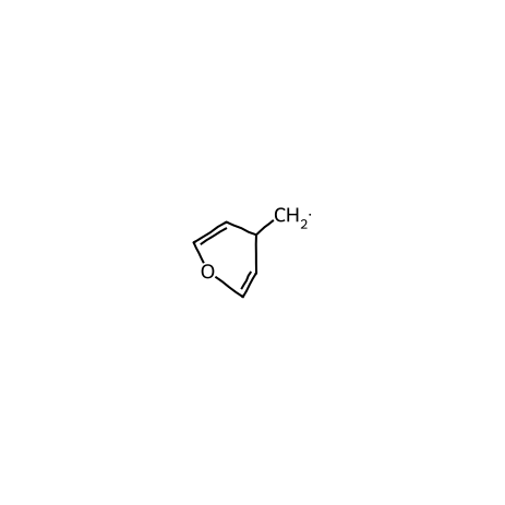 [CH2]C1C=COC=C1